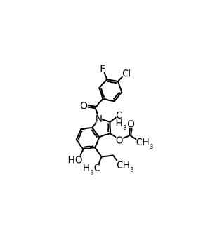 CCC(C)c1c(O)ccc2c1c(OC(C)=O)c(C)n2C(=O)c1ccc(Cl)c(F)c1